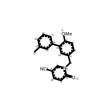 COc1ccc(Cn2cc(C#N)ccc2=O)cc1-c1cccc(C)c1